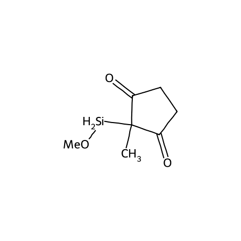 CO[SiH2]C1(C)C(=O)CCC1=O